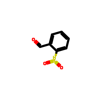 O=Cc1ccccc1[SH](=O)=O